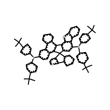 CC(C)(C)c1ccc(N(c2ccc(C(C)(C)C)cc2)c2ccc3c4c(c5ccccc5c3c2)-c2c(cc(N(c3ccc(C(C)(C)C)cc3)c3ccc(C(C)(C)C)cc3)c3c2oc2ccccc23)C42c3ccccc3-c3ccccc32)cc1